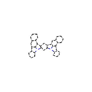 c1ccc2c(c1)cc1c3cc4c5c6ccccc6cc6c7ccccc7n(c4cc3n3c4ccccc4c2c13)c65